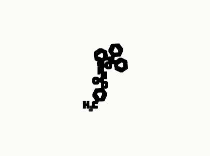 Cc1ccc(OC(=O)N=NC(=O)O[Si](c2ccccc2)(c2ccccc2)c2ccccc2)cc1